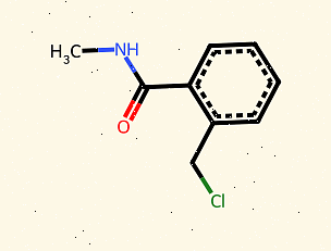 CNC(=O)c1ccccc1CCl